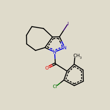 Cc1cccc(Cl)c1C(=O)n1nc(I)c2c1CCCCC2